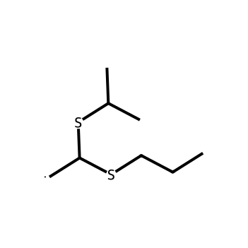 [CH2]C(SCCC)SC(C)C